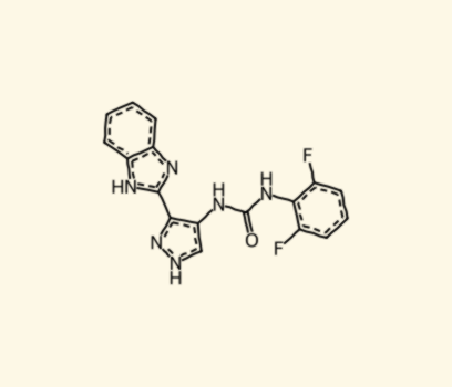 O=C(Nc1c[nH]nc1-c1nc2ccccc2[nH]1)Nc1c(F)cccc1F